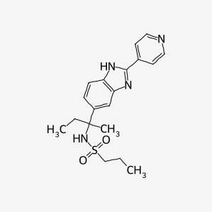 CCCS(=O)(=O)NC(C)(CC)c1ccc2[nH]c(-c3ccncc3)nc2c1